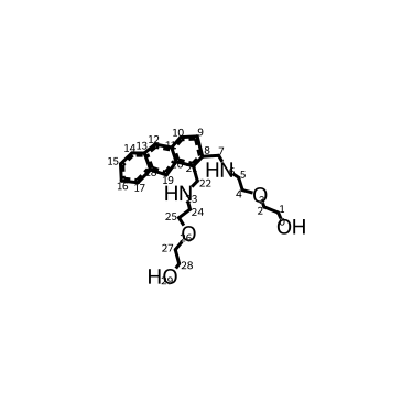 OCCOCCNCc1ccc2cc3ccccc3cc2c1CNCCOCCO